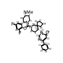 CN[C@@H]1CCN(C(=O)N2CC[C@@H](Cn3cnc(-c4ccccc4)cc3=O)C3(CCCC3)C2)[C@H](c2cc(F)cc(F)c2)C1